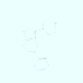 Oc1ccccc1-c1cc2c(C3=CCNCC3)c[nH]c2nn1